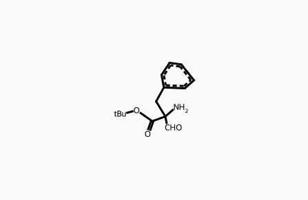 CC(C)(C)OC(=O)C(N)(C=O)Cc1ccccc1